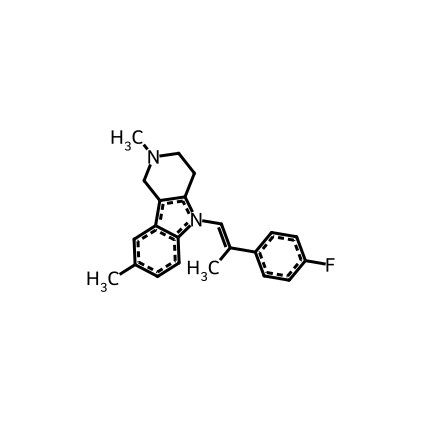 C/C(=C\n1c2c(c3cc(C)ccc31)CN(C)CC2)c1ccc(F)cc1